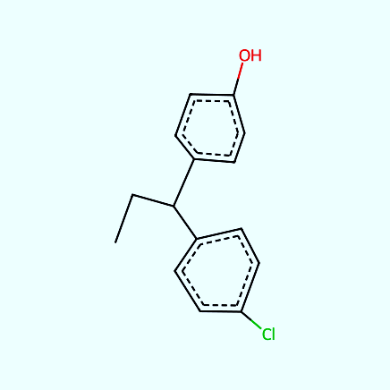 CCC(c1ccc(O)cc1)c1ccc(Cl)cc1